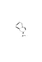 O=S(=O)=C1C=CC2C[C]=CC=C2C1